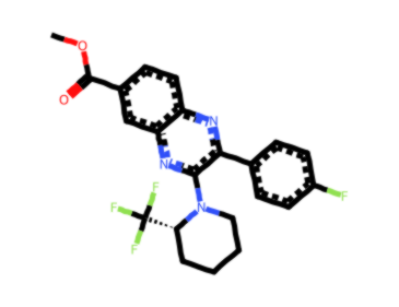 COC(=O)c1ccc2nc(-c3ccc(F)cc3)c(N3CCCC[C@@H]3C(F)(F)F)nc2c1